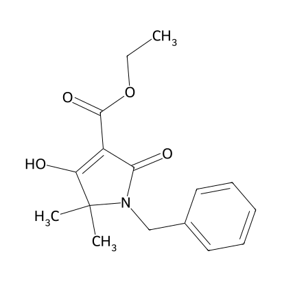 CCOC(=O)C1=C(O)C(C)(C)N(Cc2ccccc2)C1=O